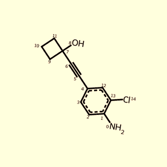 Nc1ccc(C#CC2(O)CCC2)cc1Cl